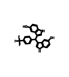 Oc1ccc2[nH]cc(C(c3ccc(C(F)(F)F)cc3)c3c[nH]c4ccc(O)cc34)c2c1